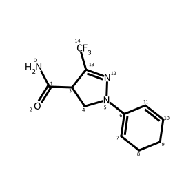 NC(=O)C1CN(C2=CCCC=C2)N=C1C(F)(F)F